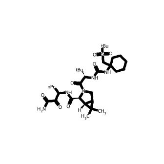 CCCC(NC(=O)[C@@H]1[C@@H]2C(CN1C(=O)[C@@H](NC(=O)NC1(CS(=O)(=O)C(C)(C)C)CCCCC1)C(C)(C)C)C2(C)C)C(=O)C(N)=O